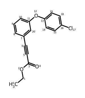 CCOC(=O)C#Cc1cccc(Oc2ccc(Cl)cc2)c1